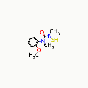 COc1ccccc1N(C)C(=O)N(C)S